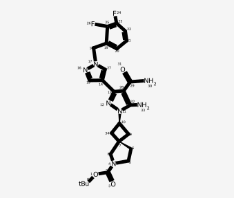 CC(C)(C)OC(=O)N1CC[C@]2(C1)C[C@H](n1nc(-c3cnn(Cc4cccc(F)c4F)c3)c(C(N)=O)c1N)C2